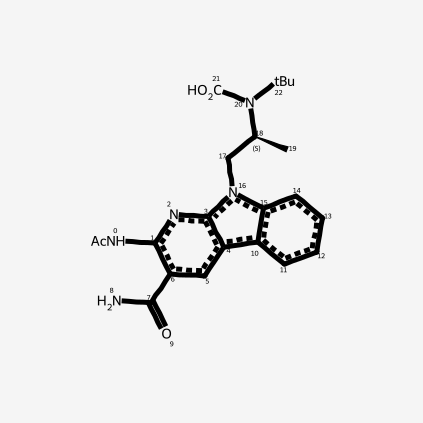 CC(=O)Nc1nc2c(cc1C(N)=O)c1ccccc1n2C[C@H](C)N(C(=O)O)C(C)(C)C